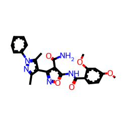 COc1ccc(C(=O)Nc2onc(-c3c(C)nn(-c4ccccc4)c3C)c2C(N)=O)c(OC)c1